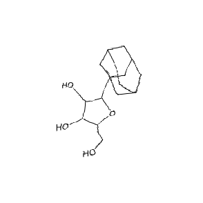 OCC1OC(C23CC4CC(CC(C4)C2)C3)C(O)C1O